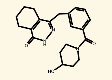 O=C(c1cccc(Cc2n[nH]c(=O)c3c2CCCC3)c1)N1CCC(O)CC1